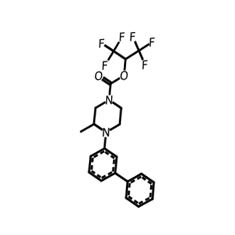 CC1CN(C(=O)OC(C(F)(F)F)C(F)(F)F)CCN1c1cccc(-c2ccccc2)c1